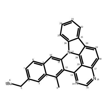 Cc1c2cc(CC(C)(C)C)ccc2cc2c1c1ncnc3ccc4c5ccccc5n2c4c31